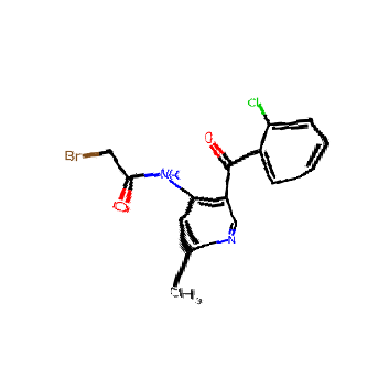 Cc1cc(NC(=O)CBr)c(C(=O)c2ccccc2Cl)cn1